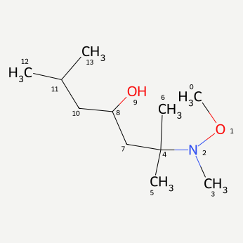 CON(C)C(C)(C)CC(O)CC(C)C